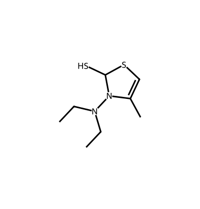 CCN(CC)N1C(C)=CSC1S